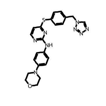 c1cc(Sc2ccc(Cn3cnnn3)cc2)nc(Nc2ccc(N3CCOCC3)cc2)n1